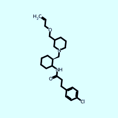 C=CCOCC1CCCN(C[C@@H]2CCCCC2NC(=O)CCc2ccc(Cl)cc2)C1